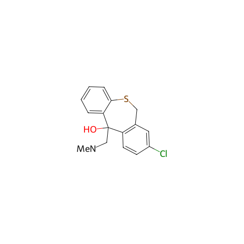 CNCC1(O)c2ccc(Cl)cc2CSc2ccccc21